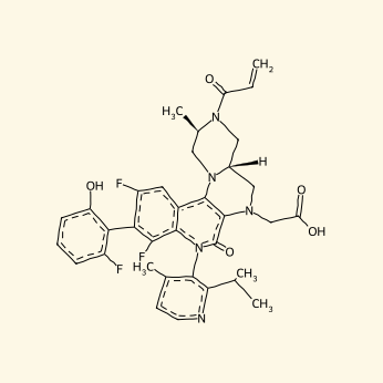 C=CC(=O)N1C[C@@H]2CN(CC(=O)O)c3c(c4cc(F)c(-c5c(O)cccc5F)c(F)c4n(-c4c(C)ccnc4C(C)C)c3=O)N2C[C@H]1C